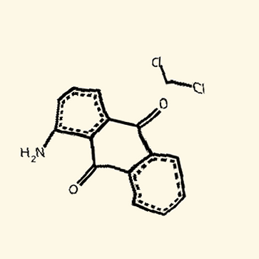 ClCCl.Nc1cccc2c1C(=O)c1ccccc1C2=O